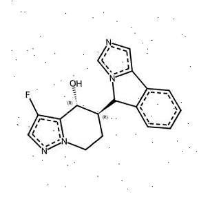 O[C@H]1c2c(F)cnn2CC[C@@H]1C1c2ccccc2-c2cncn21